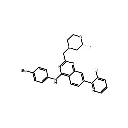 C[C@@H]1CN(Cc2nc(Nc3ccc(C(C)(C)C)cc3)c3ccc(-c4ncccc4Cl)cc3n2)CCO1